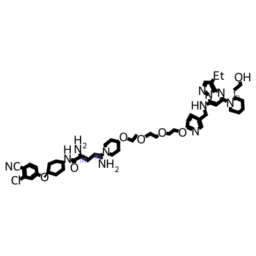 CCc1cnn2c(NCc3ccc(OCCOCCOCCOC4CCN(/C(N)=C/C=C(\N)C(=O)N[C@H]5CC[C@H](Oc6ccc(C#N)c(Cl)c6)CC5)CC4)nc3)cc(N3CCCC[C@H]3CCO)nc12